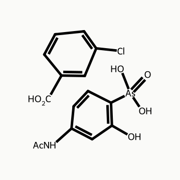 CC(=O)Nc1ccc([As](=O)(O)O)c(O)c1.O=C(O)c1cccc(Cl)c1